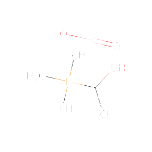 CC(O)[P+](C)(C)C.O=B[O-]